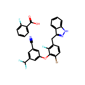 N#Cc1cc(Oc2c(Br)ccc(Cc3n[nH]c4ccccc34)c2F)cc(C(F)F)c1.O=C(O)c1ccccc1F